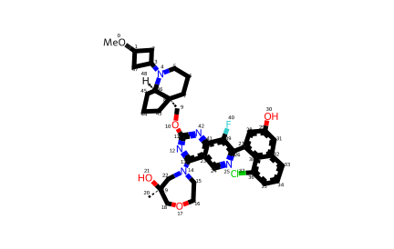 COC1CC(N2CCC[C@@]3(COc4nc(N5CCOC[C@@](C)(O)C5)c5cnc(-c6cc(O)cc7cccc(Cl)c67)c(F)c5n4)CCC[C@@H]23)C1